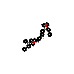 c1ccc(-c2ccc(-c3ccccc3)c(N(c3ccccc3)c3ccc4cc5c(cc4c3)oc3cc4oc6cc7cc(N(c8ccccc8)c8cc(-c9ccccc9)ccc8-c8ccccc8)ccc7cc6c4cc35)c2)cc1